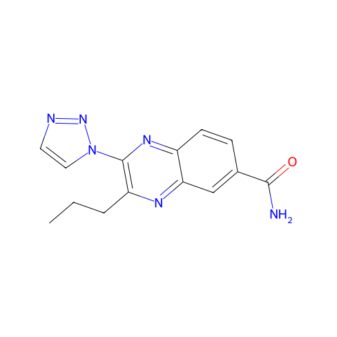 CCCc1nc2cc(C(N)=O)ccc2nc1-n1ccnn1